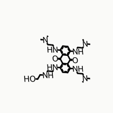 CN(C)CCNc1ccc(NCCNCCO)c2c1C(=O)c1c(NCCN(C)C)ccc(NCCN(C)C)c1C2=O